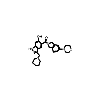 O=C(c1cc2c(CN3CCCCC3)n[nH]c2cc1O)N1Cc2ccc(N3CCOCC3)cc2C1